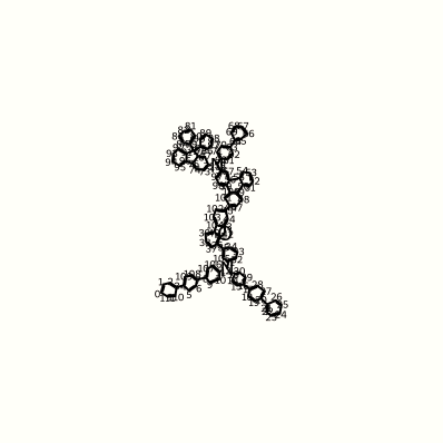 c1ccc(-c2ccc(-c3ccc(N(c4ccc(-c5ccc(-c6ccccc6)cc5)cc4)c4cccc(-c5cccc6c5oc5cc(-c7ccc8c9ccccc9c9cc(N(c%10ccc(-c%11ccccc%11)cc%10)c%10ccc%11c(c%10)C(c%10ccccc%10)(c%10ccccc%10)c%10ccccc%10-%11)ccc9c8c7)ccc56)c4)cc3)cc2)cc1